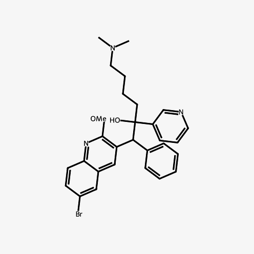 COc1nc2ccc(Br)cc2cc1C(c1ccccc1)C(O)(CCCCN(C)C)c1cccnc1